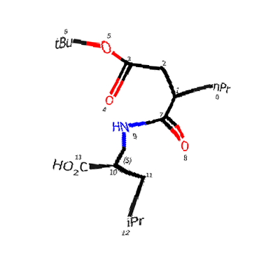 CCCC(CC(=O)OC(C)(C)C)C(=O)N[C@@H](CC(C)C)C(=O)O